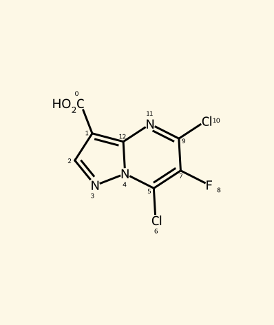 O=C(O)c1cnn2c(Cl)c(F)c(Cl)nc12